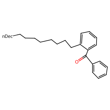 CCCCCCCCCCCCCCCCCCc1ccccc1C(=O)c1ccccc1